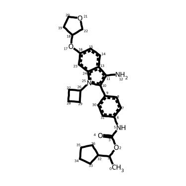 CC(OC(=O)Nc1ccc(-c2c(N)c3ccc(OC4CCOC4)cc3n2C2CCC2)cc1)C1CCCC1